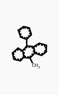 Cc1c2ccccc2c(-c2ccccc2)c2ccccc12